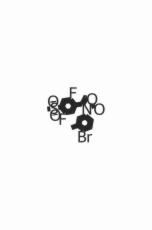 Cc1cc(-n2c(-c3cc(F)c(S(C)(=O)=O)cc3F)coc2=O)ccc1Br